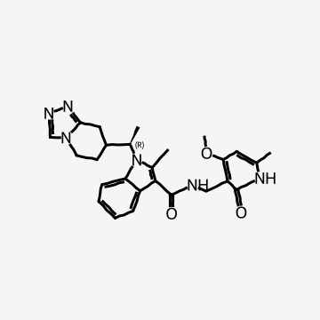 COc1cc(C)[nH]c(=O)c1CNC(=O)c1c(C)n([C@H](C)C2CCn3cnnc3C2)c2ccccc12